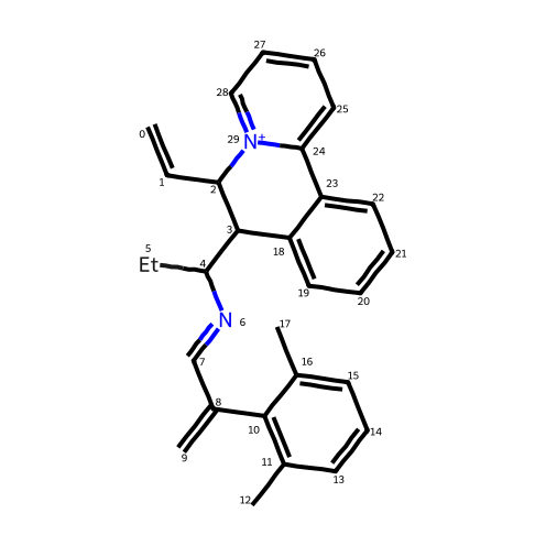 C=CC1C(C(CC)/N=C/C(=C)c2c(C)cccc2C)c2ccccc2-c2cccc[n+]21